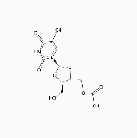 CC(=O)OC[C@H]1C[C@H](n2cc(C)c(=O)[nH]c2=O)O[C@@H]1CO